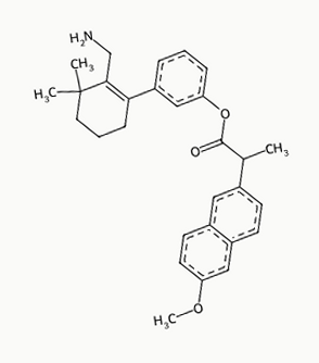 COc1ccc2cc(C(C)C(=O)Oc3cccc(C4=C(CN)C(C)(C)CCC4)c3)ccc2c1